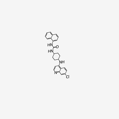 O=C(Nc1cccc2ccccc12)NC1CCC(Nc2ccnc3cc(Cl)ccc23)CC1